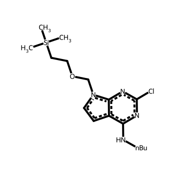 CCCCNc1nc(Cl)nc2c1ccn2COCC[Si](C)(C)C